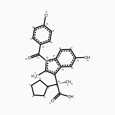 Cc1c([C@@](C)(C(=O)O)C2CCCC2)c2cc(O)ccc2n1C(=O)c1ccc(Cl)cc1